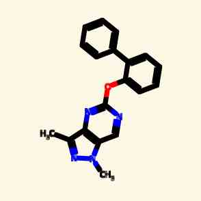 Cc1nn(C)c2cnc(Oc3ccccc3-c3ccccc3)nc12